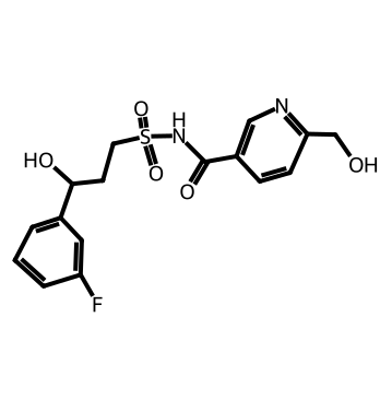 O=C(NS(=O)(=O)CCC(O)c1cccc(F)c1)c1ccc(CO)nc1